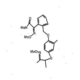 CNC(=O)C(=NOC)c1ccccc1COc1ccc(OC(C)C(C)=NOC)cc1C